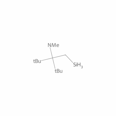 CNC(C[SiH3])(C(C)(C)C)C(C)(C)C